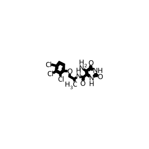 CC(COc1ccc(Cl)c(Cl)c1Cl)NC(=O)c1[nH]c(=O)[nH]c(=O)c1N